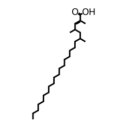 CCCCCCCCCCCCCCCCCCC(C)CC(C)/C=C(\C)C(=O)O